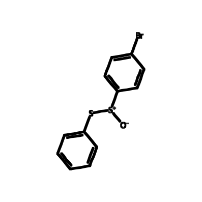 [O-][S+](Sc1ccccc1)c1ccc(Br)cc1